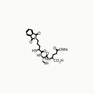 COC(=O)CC[C@H](NC(=O)[C@H](CC(C)C)NC(=O)C(S)CCCN1C(=O)c2ccccc2C1=O)C(=O)O